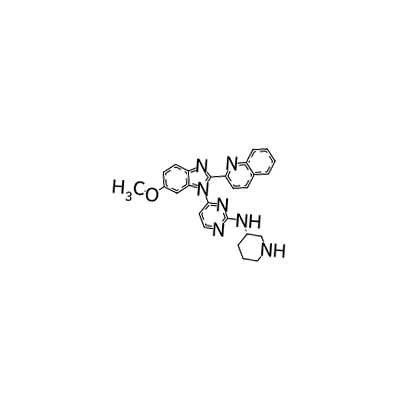 COc1ccc2nc(-c3ccc4ccccc4n3)n(-c3ccnc(N[C@H]4CCCNC4)n3)c2c1